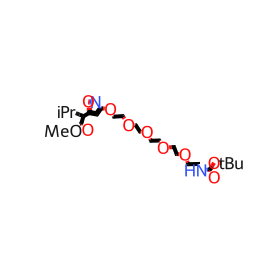 COC(=O)C(c1cc(OCCOCCOCCOCCOCCNC(=O)OC(C)(C)C)no1)C(C)C